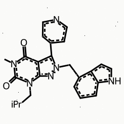 CC(C)Cn1c(=O)n(C)c(=O)c2c(-c3ccncc3)n(Cc3cccc4[nH]ccc34)nc21